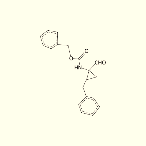 O=CC1(NC(=O)OCc2ccccc2)CC1Cc1ccccc1